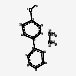 COc1ccc(-c2ccccc2)cc1.NN